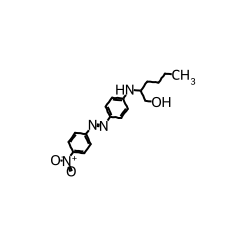 CCCCC(CO)Nc1ccc(N=Nc2ccc([N+](=O)[O-])cc2)cc1